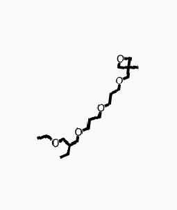 CCOCC(CC)COCCCOCCCOCC1(C)COC1